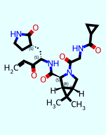 C=CC(=O)[C@H](C[C@@H]1CCNC1=O)NC(=O)[C@@H]1[C@@H]2[C@H](CN1C(=O)CNC(=O)C1CC1)C2(C)C